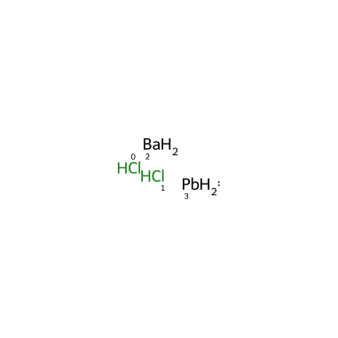 Cl.Cl.[BaH2].[PbH2]